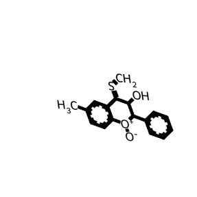 C=S=C1c2cc(C)ccc2[O+]([O-])C(c2ccccc2)C1O